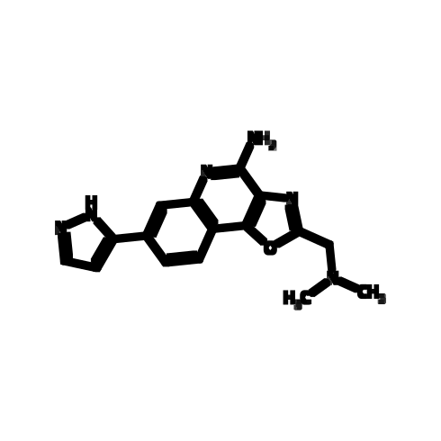 CN(C)Cc1nc2c(N)nc3cc(-c4ccn[nH]4)ccc3c2o1